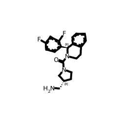 NC[C@H]1CCN(C(=O)N2CCc3ccccc3[C@@H]2c2ccc(F)cc2F)C1